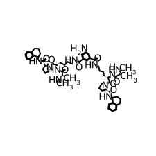 CN[C@@H](C)C(=O)N[C@@H](CCCCNC(=O)c1cc(N)cc(C(=O)NCCCC[C@H](NC(=O)[C@H](C)NC)C(=O)N2CCC[C@H]2C(=O)N[C@@H]2CCCc3ccccc32)c1)C(=O)N1CCC[C@H]1C(=O)N[C@@H]1CCCc2ccccc21